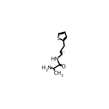 CC(N)C(=O)N/C=C/Cc1cccs1